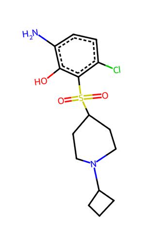 Nc1ccc(Cl)c(S(=O)(=O)C2CCN(C3CCC3)CC2)c1O